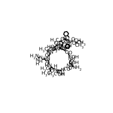 CC[C@H](C)C(NC(=O)[C@H](CC1CCCCC1)NC(=O)OC(C)(C)C)C(=O)N[C@@H]1C(=O)N[C@@H]([C@H](O)C(C)C)C(=O)N[C@@H](CC(C)C)C(=O)N[C@H](CCCNC(=N)N)C(=O)N[C@@H]([C@@H](C)CC)C(=O)N[C@@H]([C@H](C)O)C(=O)NCC(=O)NC([C@H](O)C(N)=O)C(=O)N[C@@H](CO)C(=O)O[C@@H]1c1ccccc1